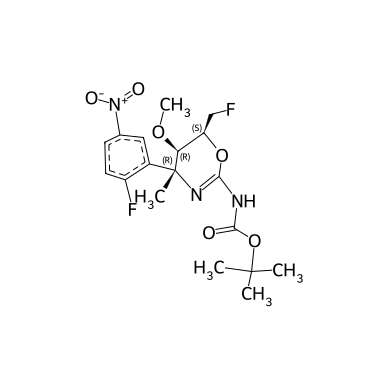 CO[C@H]1[C@@H](CF)OC(NC(=O)OC(C)(C)C)=N[C@]1(C)c1cc([N+](=O)[O-])ccc1F